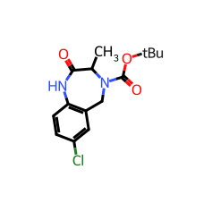 CC1C(=O)Nc2ccc(Cl)cc2CN1C(=O)OC(C)(C)C